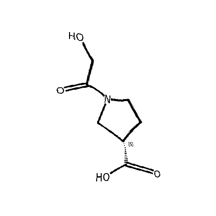 O=C(O)[C@H]1CCN(C(=O)CO)C1